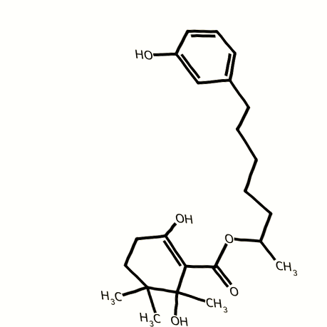 CC(CCCCCc1cccc(O)c1)OC(=O)C1=C(O)CCC(C)(C)C1(C)O